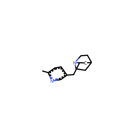 Cc1ccc(CC2CC3CCN2CC3)cn1